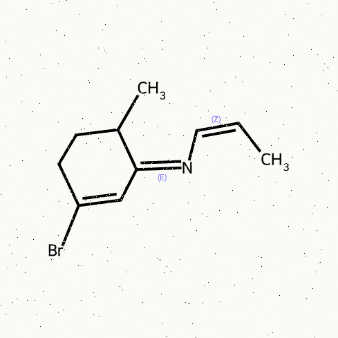 C/C=C\N=C1\C=C(Br)CCC1C